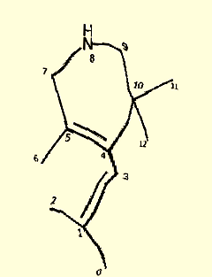 CC(C)=CC1=C(C)CNCC1(C)C